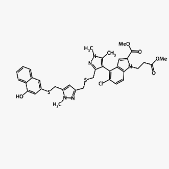 COC(=O)CCn1c(C(=O)OC)cc2c(-c3c(CSCc4cc(CSc5cc(O)c6ccccc6c5)n(C)n4)nn(C)c3C)c(Cl)ccc21